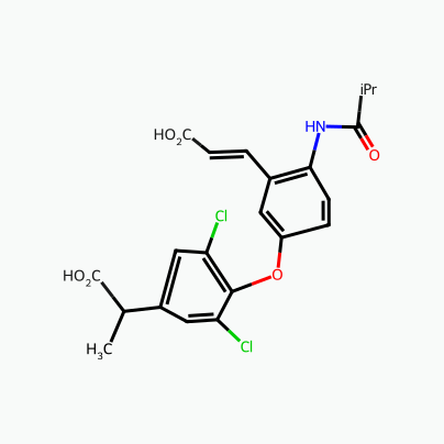 CC(C)C(=O)Nc1ccc(Oc2c(Cl)cc(C(C)C(=O)O)cc2Cl)cc1C=CC(=O)O